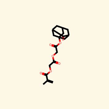 C=C(C)C(=O)OCC(=O)OCC(=O)OC12CC3CC(C1)C(=O)C(C3)C2